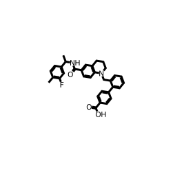 Cc1ccc(C(C)NC(=O)c2ccc3c(c2)CCCN3Cc2ccccc2-c2ccc(C(=O)O)cc2)cc1F